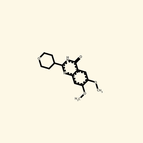 COc1cc2nc(C3CCOCC3)[nH]c(=O)c2cc1OC